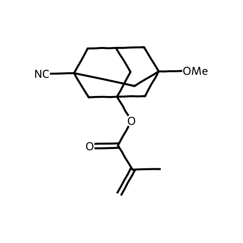 C=C(C)C(=O)OC12CC3CC(C#N)(CC(OC)(C3)C1)C2